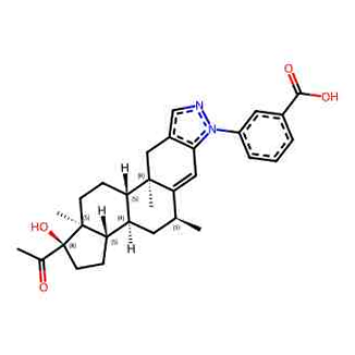 CC(=O)[C@@]1(O)CC[C@H]2[C@@H]3C[C@H](C)C4=Cc5c(cnn5-c5cccc(C(=O)O)c5)C[C@]4(C)[C@H]3CC[C@@]21C